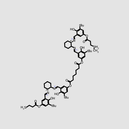 C[SiH2]CCC(=O)Oc1cc(/C=N/[C@@H]2CCCCC2/N=C/c2cc(OC(=O)CCCCCC(=O)Oc3cc(/C=N/C4CCCC[C@H]4/N=C/c4cc(OC(=O)CC[SiH3])cc(C(C)(C)C)c4O)c(O)c(C(C)(C)C)c3)cc(C(C)(C)C)c2O)c(O)c(C(C)(C)C)c1